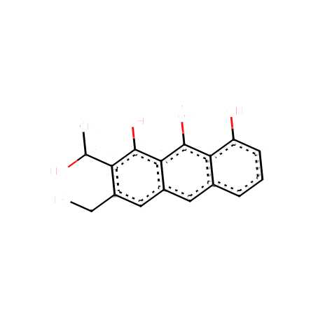 CCc1cc2cc3cccc(O)c3c(O)c2c(O)c1C(C)O